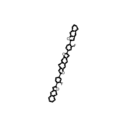 Fc1cc(-c2cc3cc4cc5oc(-c6ccc(-c7cc8cc9ccccc9cc8o7)c(F)c6)cc5cc4cc3o2)ccc1-c1cc2cc3ccccc3cc2o1